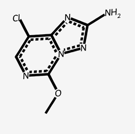 COc1ncc(Cl)c2nc(N)nn12